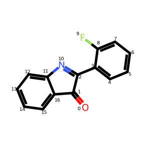 O=C1C(c2ccccc2F)=Nc2ccccc21